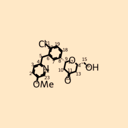 COc1ccc(Cc2cc([C@H]3CC(=O)C[C@@H](CO)O3)ccc2Cl)nc1